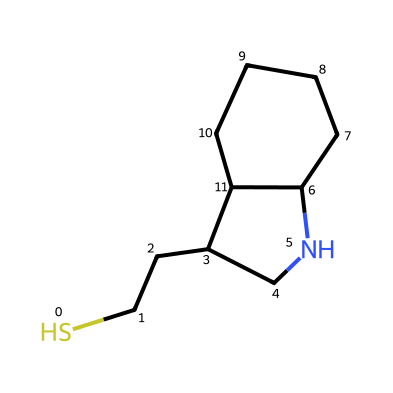 SCCC1CNC2CCCCC12